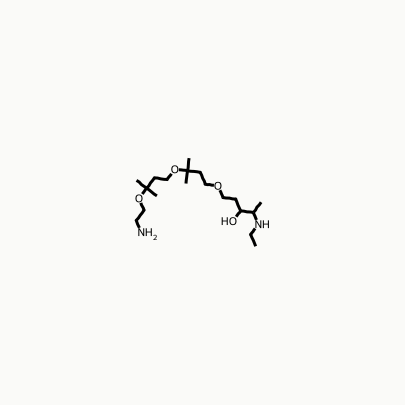 CCNC(C)C(O)CCOCCC(C)(C)OCCC(C)(C)OCCN